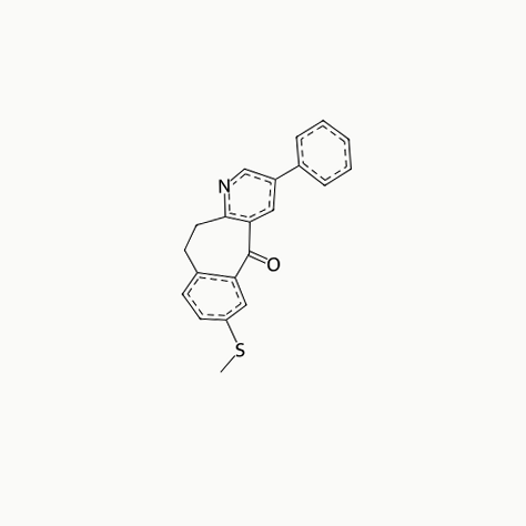 CSc1ccc2c(c1)C(=O)c1cc(-c3ccccc3)cnc1CC2